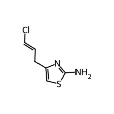 Nc1nc(CC=CCl)cs1